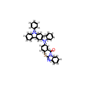 O=c1c2cc(-n3c4ccccc4c4cc5c(cc43)c3ccccc3n5-c3ccccc3)ccc2sc2nc3ccccc3n12